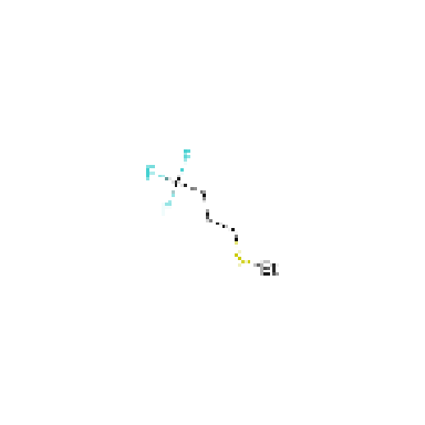 [CH2]CSCCCC(F)(F)F